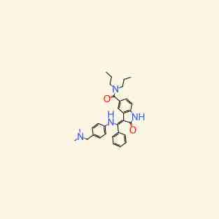 CCCN(CCC)C(=O)c1ccc2c(c1)C(=C(Nc1ccc(CN(C)C)cc1)c1ccccc1)C(=O)N2